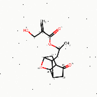 C=C(CO)C(=O)OC(C)CC1C2CC3C(=O)CC1C3O2